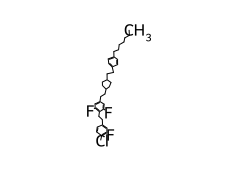 CCCCCCCc1ccc(CCC2CCC(CCc3cc(F)c(CCc4ccc(Cl)c(F)c4)c(F)c3)CC2)cc1